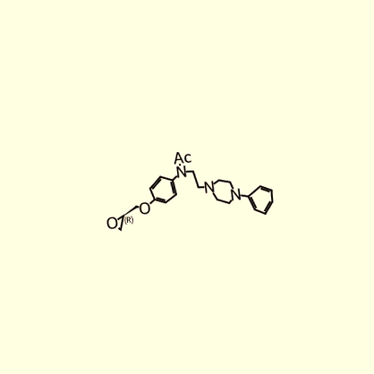 CC(=O)N(CCN1CCN(c2ccccc2)CC1)c1ccc(OC[C@H]2CO2)cc1